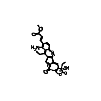 CCc1c2c(nc3ccc(C=CC(=O)OC)c(N)c13)-c1cc3c(c(=O)n1C2)COC(=O)[C@]3(O)CC